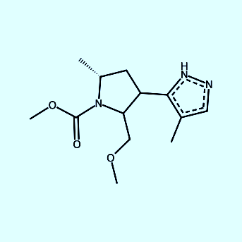 COCC1C(c2[nH]ncc2C)C[C@@H](C)N1C(=O)OC